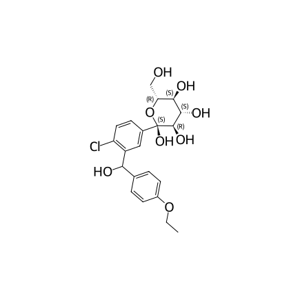 CCOc1ccc(C(O)c2cc([C@]3(O)O[C@H](CO)[C@@H](O)[C@H](O)[C@H]3O)ccc2Cl)cc1